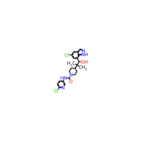 CC(C)(C1CCN(C(=O)Nc2ccc(Cl)nc2)CC1)C(O)c1cc(Cl)cc2cn[nH]c12